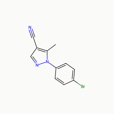 Cc1c(C#N)cnn1-c1ccc(Br)cc1